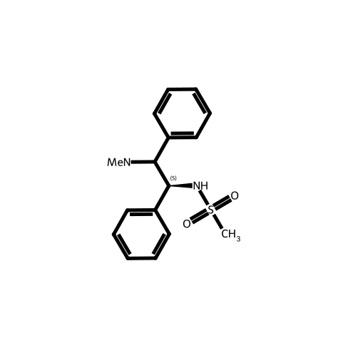 CNC(c1ccccc1)[C@@H](NS(C)(=O)=O)c1ccccc1